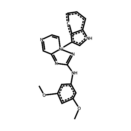 COc1cc(NC2=N[N+]3(c4c[nH]c5ccccc45)C=CN=CC3=N2)cc(OC)c1